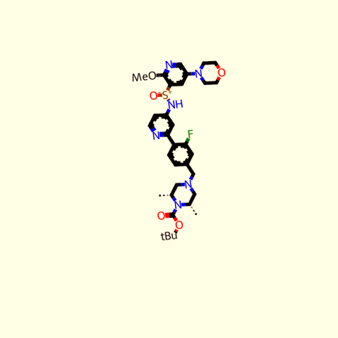 COc1ncc(N2CCOCC2)cc1[S+]([O-])Nc1ccnc(-c2ccc(CN3C[C@@H](C)N(C(=O)OC(C)(C)C)[C@@H](C)C3)cc2F)c1